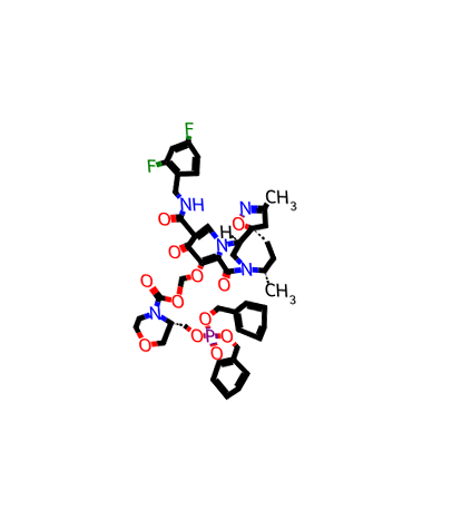 CC1=NO[C@@]2(CC[C@H](C)N3C[C@H]2n2cc(C(=O)NCc4ccc(F)cc4F)c(=O)c(OCOC(=O)N4CCOC[C@H]4COP(=O)(OCc4ccccc4)OCc4ccccc4)c2C3=O)C1